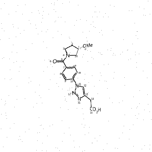 CO[C@H]1CCN(C(=O)c2ccc(-n3cc(CC(=O)O)nn3)cc2)C1